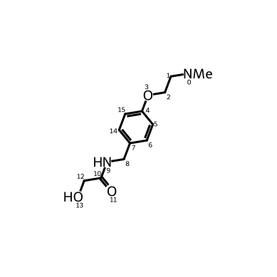 CNCCOc1ccc(CNC(=O)CO)cc1